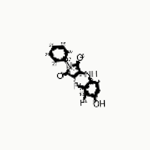 O=C1C=C(Nc2ccc(O)c(F)c2F)C(=O)N1c1ccccc1